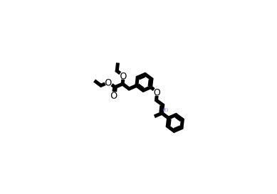 CCOC(=O)C(Cc1cccc(OC/C=C(\C)c2ccccc2)c1)OCC